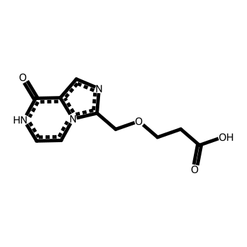 O=C(O)CCOCc1ncc2c(=O)[nH]ccn12